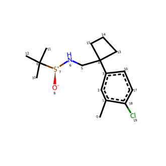 Cc1cc(C2(CN[S@@+]([O-])C(C)(C)C)CCC2)ccc1Cl